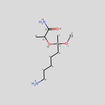 CCO[Si](C)(CCCCCN)OC(C)C(N)=O